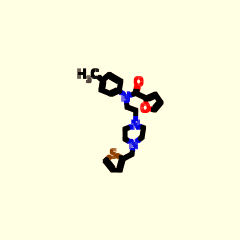 Cc1ccc(N(CCN2CCN(Cc3cccs3)CC2)C(=O)c2ccco2)cc1